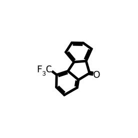 O=C1c2ccccc2-c2c1cccc2C(F)(F)F